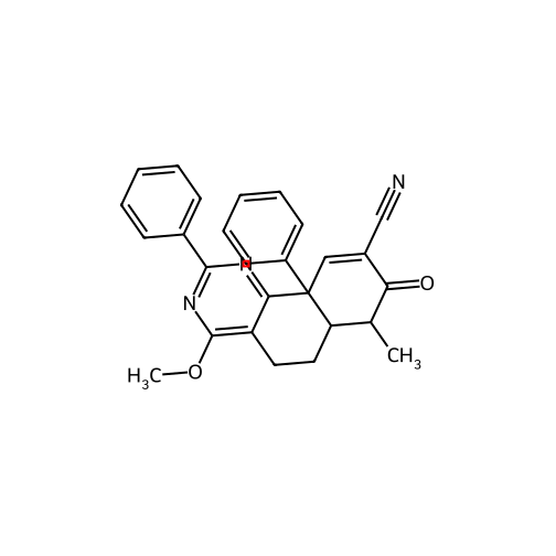 COc1nc(-c2ccccc2)nc2c1CCC1C(C)C(=O)C(C#N)=CC21c1ccccc1